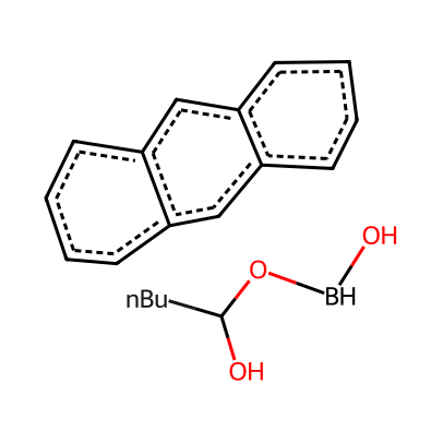 CCCCC(O)OBO.c1ccc2cc3ccccc3cc2c1